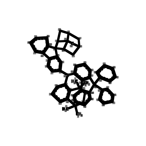 CC1(C)CCC(C)(C)c2c(N(c3ccc4c(c3)C3(c5ccccc5-4)C4CC5CC6CC3C64C5)c3cccc4c3-c3ccccc3C4(c3ccccc3)c3ccccc3)cccc21